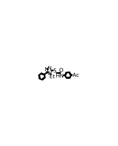 CCn1c(SCC(=O)Nc2ccc(C(C)=O)cc2)nnc1-c1ccccc1